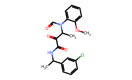 COc1ccccc1N(C=O)C(C)C(=O)C(=O)NC(C)c1cccc(Cl)c1